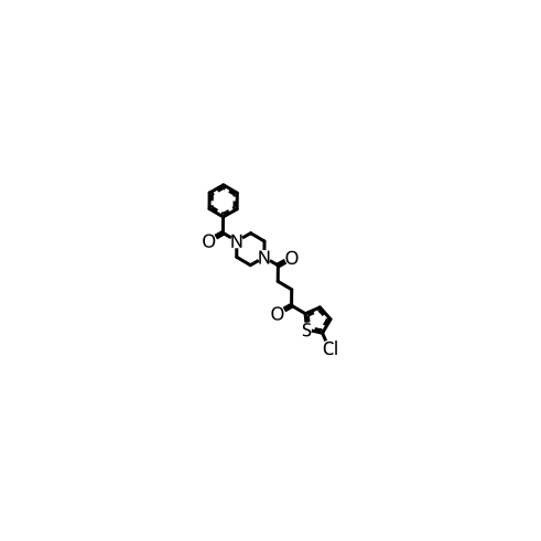 O=C(CCC(=O)N1CCN(C(=O)c2ccccc2)CC1)c1ccc(Cl)s1